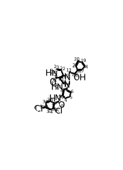 O=C(Nc1cccc2nc(-c3c(NCC(O)c4ccccc4)cc[nH]c3=O)[nH]c12)c1ccc(Cl)cc1Cl